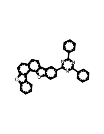 c1ccc(-c2nc(-c3ccccc3)nc(-c3ccc4oc5c(ccc6ccc7oc8ccccc8c7c65)c4c3)n2)cc1